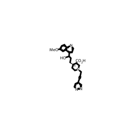 COc1ccc2nccc(C(O)CC[C@@H]3CCN(CC#Cc4ccnnc4)C[C@@H]3C(=O)O)c2c1